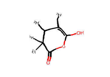 [2H]C1=C(O)OC(=O)C([2H])(CC)C1[2H]